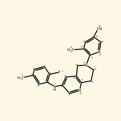 Cc1ccc(F)c(Nc2cnc3c(c2)CN(c2ncc(C#N)cc2C)CC3)c1